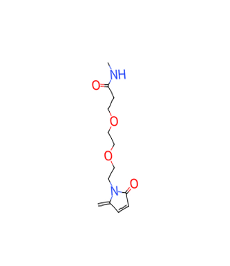 C=C1C=CC(=O)N1CCOCCOCCC(=O)NC